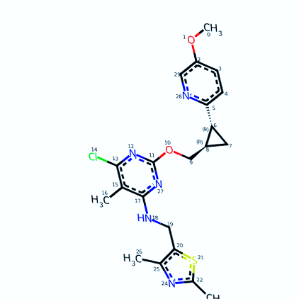 COc1ccc([C@@H]2C[C@H]2COc2nc(Cl)c(C)c(NCc3sc(C)nc3C)n2)nc1